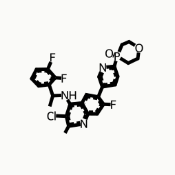 Cc1nc2cc(F)c(-c3ccc(P4(=O)CCOCC4)nc3)cc2c(NC(C)c2cccc(F)c2F)c1Cl